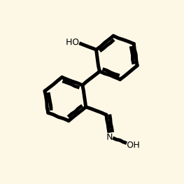 ON=Cc1ccccc1-c1ccccc1O